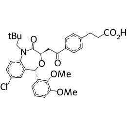 COc1cccc([C@H]2O[C@H](CC(=O)c3ccc(CCC(=O)O)cc3)C(=O)N(CC(C)(C)C)c3ccc(Cl)cc32)c1OC